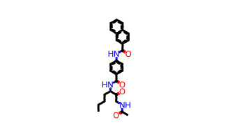 CCCCC(NC(=O)c1ccc(NC(=O)c2ccc3ccccc3c2)cc1)C(=O)CNC(C)=O